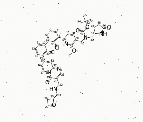 COc1nc(-c2cccc(-c3cccc(-c4ccn5c(=O)c(CNC[C@@H]6CCO6)cnc5c4)c3Cl)c2Cl)ccc1CN(C[C@@H]1CCC(=O)N1)C(=O)OC(C)(C)C